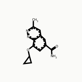 Cc1cc2cc(C(N)=O)cc(OC3CC3)c2nn1